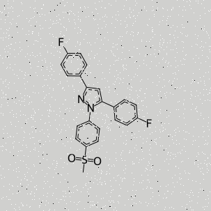 CS(=O)(=O)c1ccc(-n2nc(-c3ccc(F)cc3)cc2-c2ccc(F)cc2)cc1